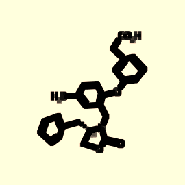 Bc1ccc(Oc2cccc(CC(=O)O)c2)c(CN2C(=O)OC[C@@H]2Cc2ccccc2)c1